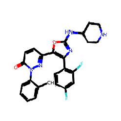 Cc1ccccc1-n1nc(-c2oc(NC3CCNCC3)nc2-c2ccc(F)cc2F)ccc1=O